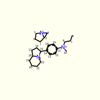 C1CC2CN2C1.CCCN(C)c1ccc(C2CCC3CCCCN32)cc1